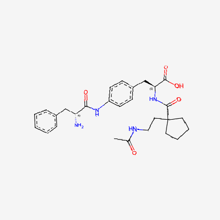 CC(=O)NCCC1(C(=O)N[C@@H](Cc2ccc(NC(=O)[C@H](N)Cc3ccccc3)cc2)C(=O)O)CCCC1